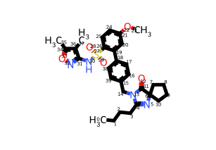 CCCCC1=NC2(CCCC2)C(=O)N1Cc1ccc(-c2cc(OC)ccc2S(=O)(=O)Nc2noc(C)c2C)cc1